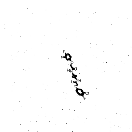 O=C(COc1ccc(F)c(F)c1)NC12CC(NC(=O)COc3ccc(F)c(Cl)c3)(C1)C2